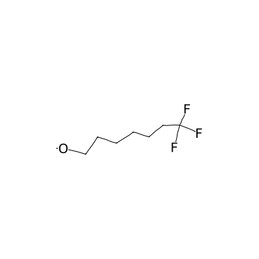 [O]CCCCCCC(F)(F)F